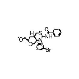 COC[C@@]1(C)C[C@H]2CSC(NC(=O)c3ccccc3)=N[C@@]2(c2nc(Br)cs2)CO1